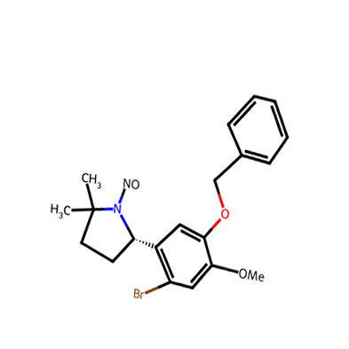 COc1cc(Br)c([C@@H]2CCC(C)(C)N2N=O)cc1OCc1ccccc1